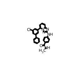 CNC(=O)c1ccc(Nc2nc3cccc(-c4cc(Cl)cc(-c5ccccc5)c4)n3n2)cc1